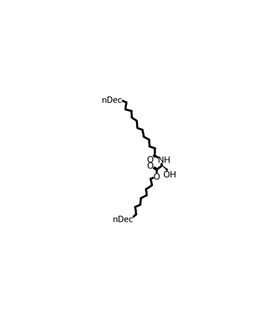 CCCCCCCCCCCCCCCCCCCCCC(=O)N[C@@H](CO)C(=O)OCCCCCCCCCCCCCCCCCC